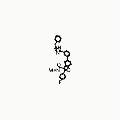 CNC(=O)c1c(-c2ccc(F)cc2)oc2ccc(-c3cccc(-c4nnn(Cc5ccccc5)n4)c3)cc12